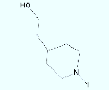 OCCC1CCN(I)CC1